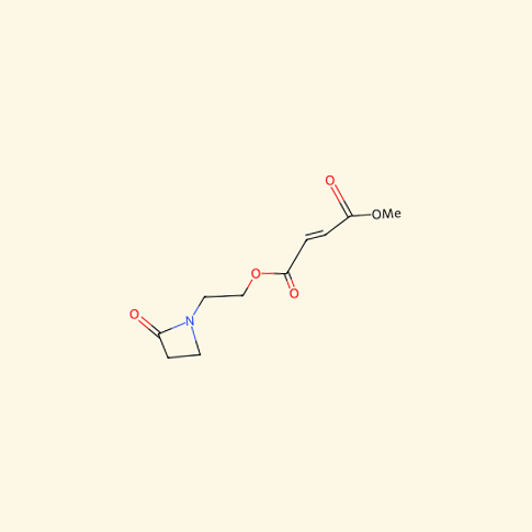 COC(=O)/C=C/C(=O)OCCN1CCC1=O